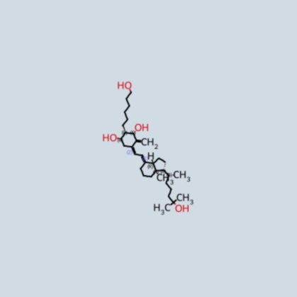 C=C1/C(=C\C=C2/CCC[C@]3(C)[C@@H]([C@H](C)CCCC(C)(C)O)CC[C@@H]23)C[C@@H](O)[C@@H](CCCCCCO)[C@@H]1O